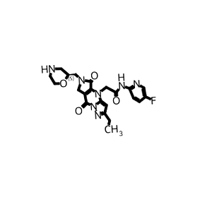 CCc1cc2n(CC(=O)Nc3ccc(F)cn3)c3c(c(=O)n2n1)CN(C[C@@H]1CNCCO1)C3=O